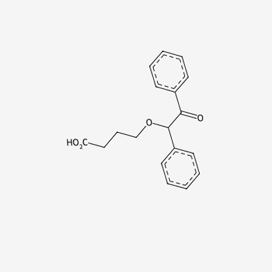 O=C(O)CCCOC(C(=O)c1ccccc1)c1ccccc1